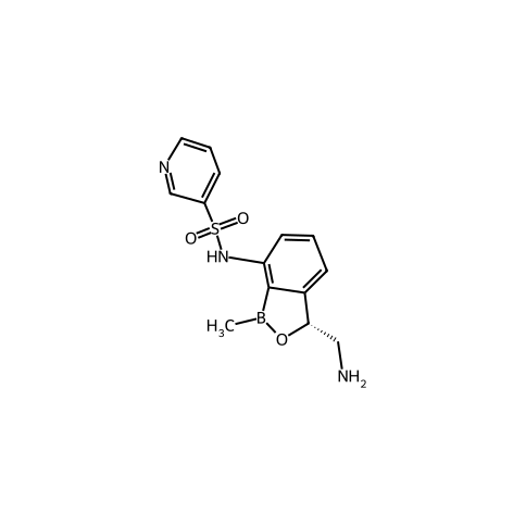 CB1O[C@@H](CN)c2cccc(NS(=O)(=O)c3cccnc3)c21